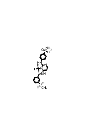 CS(=O)(=O)c1cccc(CNC2=CC=NC(Nc3ccc(S(N)(=O)=O)cc3)N2C(F)(F)F)c1